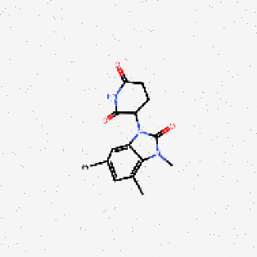 Cc1cc(C(C)C)cc2c1n(C)c(=O)n2C1CCC(=O)NC1=O